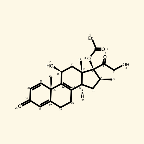 CCC(=O)O[C@@]1(C(=O)CO)[C@@H](C)C[C@H]2C3=C([C@@H](O)C[C@@]21C)[C@@]1(C)C=CC(=O)C=C1CC3